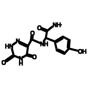 [NH]C(=O)C(NC(=O)c1n[nH]c(=O)[nH]c1=O)c1ccc(O)cc1